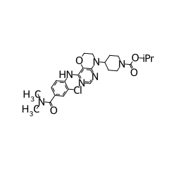 CC(C)OC(=O)N1CCC(N2CCOc3c(Nc4ccc(C(=O)N(C)C)cc4Cl)ncnc32)CC1